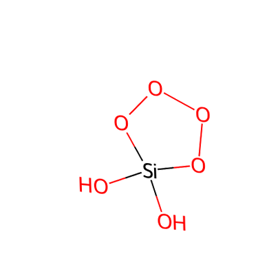 O[Si]1(O)OOOO1